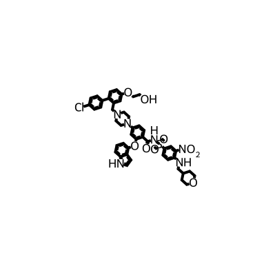 O=C(NS(=O)(=O)c1ccc(NCC2CCOCC2)c([N+](=O)[O-])c1)c1ccc(N2CCN(Cc3cc(OCCO)ccc3-c3ccc(Cl)cc3)CC2)cc1Oc1cccc2[nH]ccc12